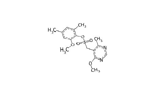 COc1cc(C)cc(C)c1OS(=O)(=O)Cc1c(C)ncnc1OC